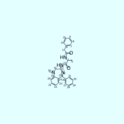 C[C@H](NC(=O)Cc1ccccc1)C(=O)N[C@@H]1CN(C)c2ccccc2C(c2ccccc2)=N1